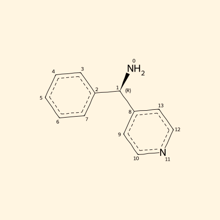 N[C@H](c1ccccc1)c1ccncc1